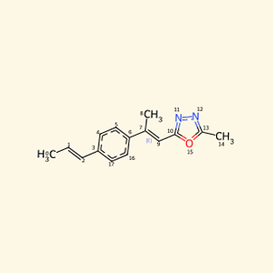 CC=Cc1ccc(/C(C)=C/c2nnc(C)o2)cc1